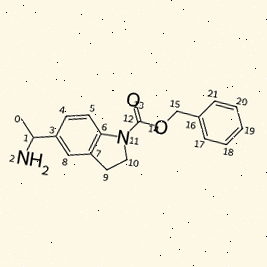 CC(N)c1ccc2c(c1)CCN2C(=O)OCc1ccccc1